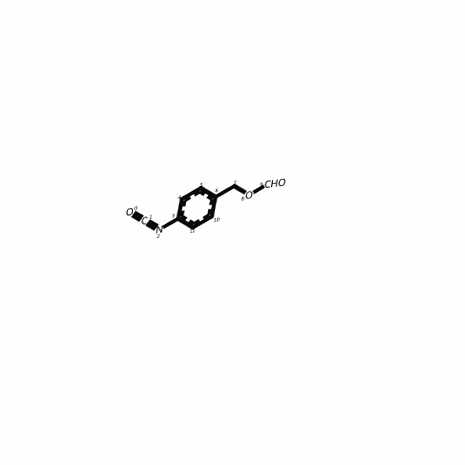 O=C=Nc1ccc(COC=O)cc1